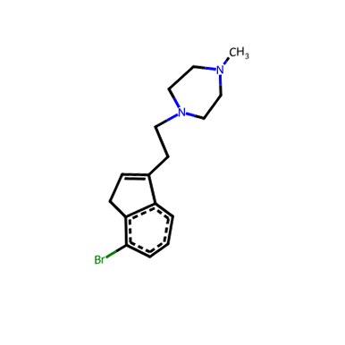 CN1CCN(CCC2=CCc3c(Br)cccc32)CC1